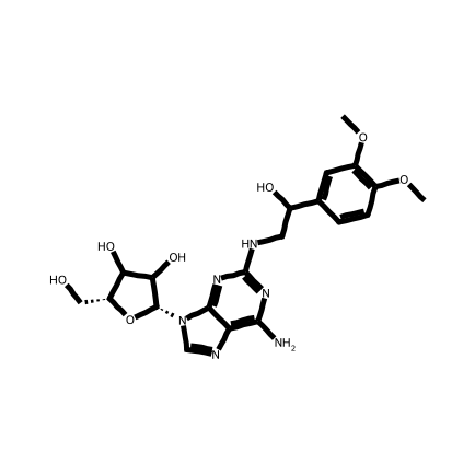 COc1ccc(C(O)CNc2nc(N)c3ncn([C@@H]4O[C@H](CO)C(O)C4O)c3n2)cc1OC